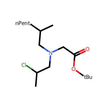 CCCCCC(C)CN(CC(=O)OC(C)(C)C)CC(C)Cl